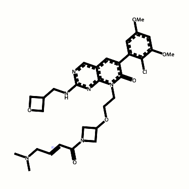 COc1cc(OC)c(Cl)c(-c2cc3cnc(NCC4COC4)nc3n(CCOC3CN(C(=O)/C=C/CN(C)C)C3)c2=O)c1